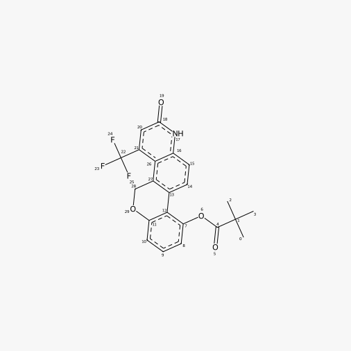 CC(C)(C)C(=O)Oc1cccc2c1-c1ccc3[nH]c(=O)cc(C(F)(F)F)c3c1CO2